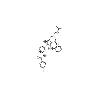 CC(C)SCC1CC(=O)c2c([nH]c(-c3ccnc(NC(=O)c4ccc(F)cc4)c3)c2Nc2ccccc2)C1